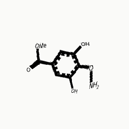 COC(=O)c1cc(O)c(ON)c(O)c1